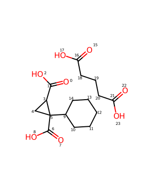 O=C(O)C1CC1(C(=O)O)C1CCCCC1.O=C(O)CCCC(=O)O